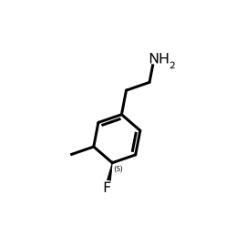 CC1C=C(CCN)C=C[C@H]1F